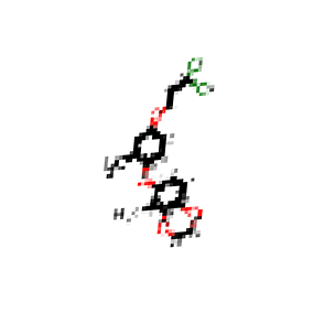 Cc1cc(OCC=C(Cl)Cl)ccc1Oc1ccc2c(c1C)OCCO2